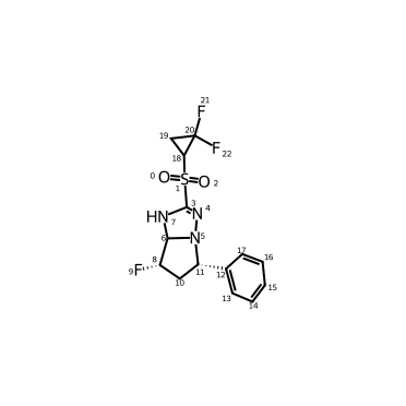 O=S(=O)(C1=NN2C(N1)[C@@H](F)C[C@H]2c1ccccc1)C1CC1(F)F